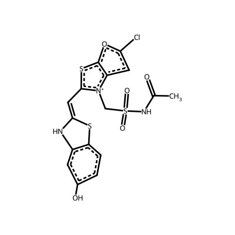 CC(=O)NS(=O)(=O)C[n+]1c(/C=C2/Nc3cc(O)ccc3S2)sc2oc(Cl)cc21